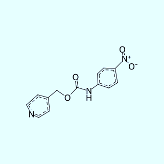 O=C(Nc1ccc([N+](=O)[O-])cc1)OCc1ccncc1